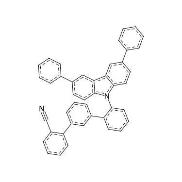 N#Cc1ccccc1-c1cccc(-c2ccccc2-n2c3ccc(-c4ccccc4)cc3c3cc(-c4ccccc4)ccc32)c1